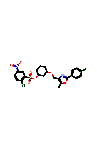 Cc1oc(-c2ccc(F)cc2)nc1CO[C@@H]1CCC[C@H](OS(=O)(=O)c2cc([N+](=O)[O-])ccc2Cl)C1